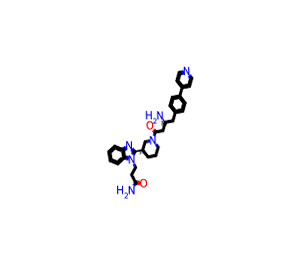 NC(=O)CCn1c([C@@H]2CCCN(C(=O)C[C@H](N)Cc3ccc(-c4ccncc4)cc3)C2)nc2ccccc21